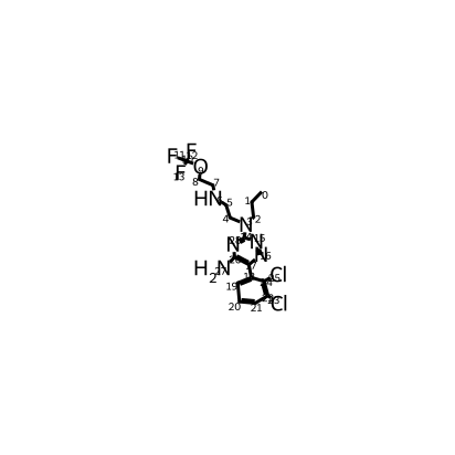 CCCN(CCNCCOC(F)(F)F)c1nnc(-c2cccc(Cl)c2Cl)c(N)n1